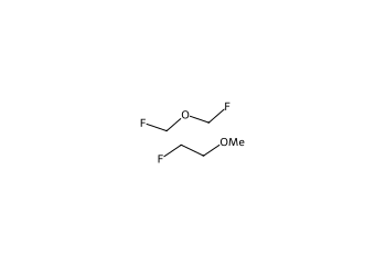 COCCF.FCOCF